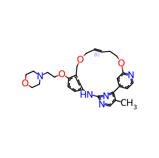 Cc1cnc2nc1-c1ccnc(c1)OCC/C=C/COCc1cc(ccc1OCCN1CCOCC1)N2